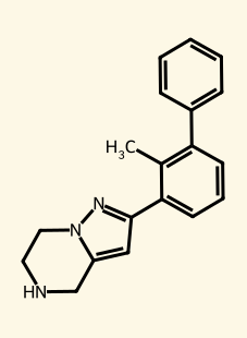 Cc1c(-c2ccccc2)cccc1-c1cc2n(n1)CCNC2